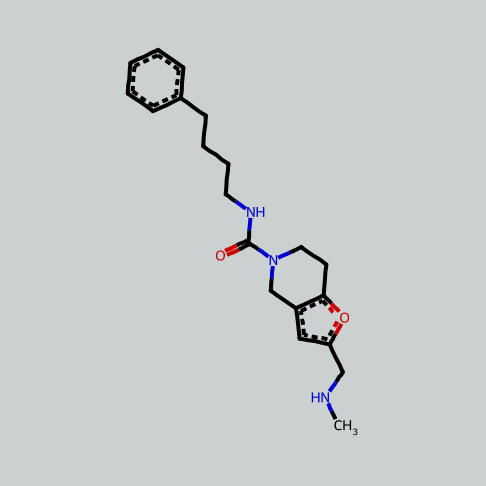 CNCc1cc2c(o1)CCN(C(=O)NCCCCc1ccccc1)C2